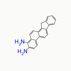 Nc1ccc2c(ccc3c4c(ccc32)-c2ccccc2C4)c1N